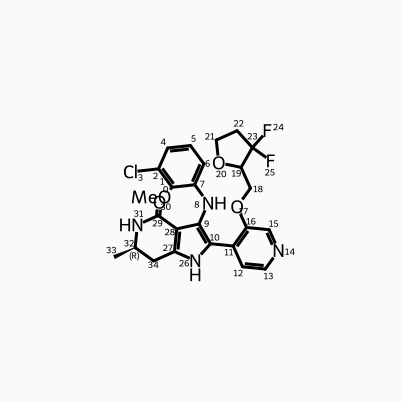 COc1c(Cl)cccc1Nc1c(-c2ccncc2OCC2OCCC2(F)F)[nH]c2c1C(=O)N[C@H](C)C2